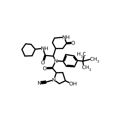 CC(C)(C)c1ccc(N(C(=O)C2CC(O)CN2C#N)C(C(=O)NC2CCCCC2)C2CCNC(=O)C2)cc1